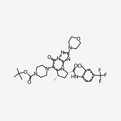 C[C@H]1C[C@@H](C(=O)Nc2ccc(C(F)(F)F)cc2Cl)n2c1c(N1CCN(C(=O)OC(C)(C)C)CC1)c(=O)n1nc(N3CCOCC3)nc21